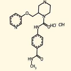 CNC(=O)c1ccc(NC(=O)N2CCNCC2COc2cccnc2)cc1.Cl.Cl